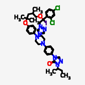 CCC(C)n1ncn(-c2ccc(N3CCN(c4ccc(OC(C)(C)CC(C)COC(I)(Cn5cncn5)c5ccc(Cl)cc5Cl)cc4)CC3)cc2)c1=O